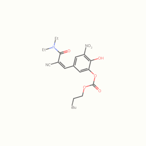 CCC(C)CCOC(=O)Oc1cc(C=C(C#N)C(=O)N(CC)CC)cc([N+](=O)[O-])c1O